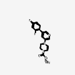 CC(C)(C)OC(=O)N1CCN(c2cncc(-c3ccc(F)cc3F)c2)CC1